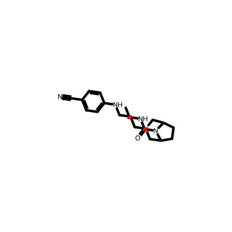 CCNC(=O)N1C2CCC1CN(CCCNc1ccc(C#N)cc1)C2